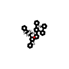 c1ccc2c(c1)-c1ccccc1-n1c3ccccc3c3cc4c(c-2c31)c1ccccc1n4-c1nc2c(nc1-c1ccc3sc4ccccc4c3c1)sc1ccccc12